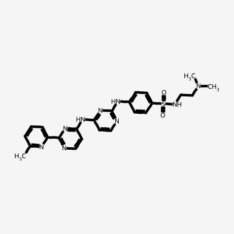 Cc1cccc(-c2nccc(Nc3ccnc(Nc4ccc(S(=O)(=O)NCCN(C)C)cc4)n3)n2)n1